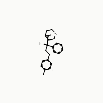 Cc1ccc(CCC(O)(c2ccccc2)C2CN3CCC2CC3)cc1